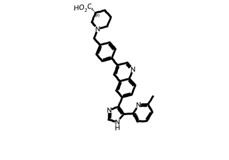 Cc1cccc(-c2[nH]cnc2-c2ccc3ncc(-c4ccc(CN5CCC[C@@H](C(=O)O)C5)cc4)cc3c2)n1